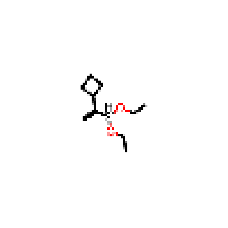 C=C(C1CCC1)[SiH](OCC)OCC